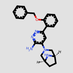 Nc1nnc(-c2ccccc2OCc2ccccc2)cc1N1C[C@H]2CC[C@@H](C1)N2